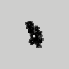 C=C1C2C(CCc3cc4oc5nc(-c6c(C)ccc(C)c6C)ccc5c4cc3-c3cc(CC4CCCC4)c(C(C)C)c[n+]31)c1ccccc1-c1cc(CC(C)(C)C)c([Si](C)(C)C)c[n+]12